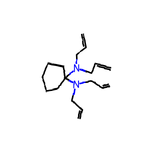 C=CCN(CC=C)C1(N(CC=C)CC=C)CCCCC1